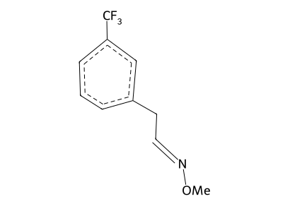 CON=CCc1cccc(C(F)(F)F)c1